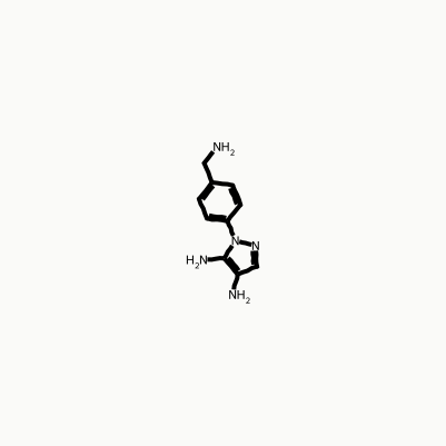 NCc1ccc(-n2ncc(N)c2N)cc1